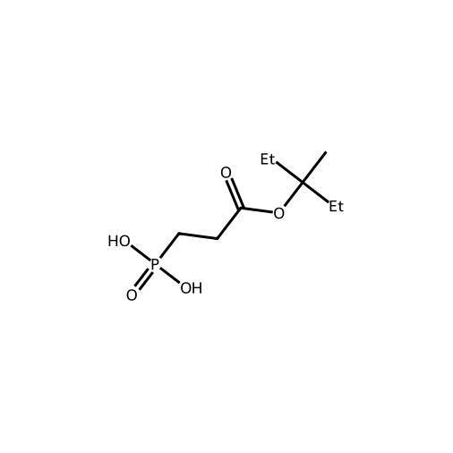 CCC(C)(CC)OC(=O)CCP(=O)(O)O